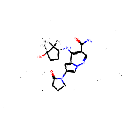 CC1(C)[C@H](Nc2c(C(N)=O)cnn3cc(N4CCCC4=O)cc23)CC[C@@]1(C)O